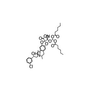 CCCCCC(=O)OC(OC(=O)CCCCC)OC(=O)C1(C(=O)O)Oc2ccc(CC(C)NCC(O)c3cccc(Cl)c3)cc2O1